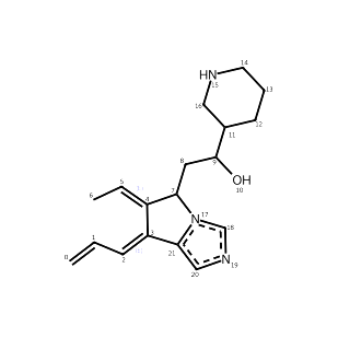 C=C/C=C1\C(=C/C)C(CC(O)C2CCCNC2)n2cncc21